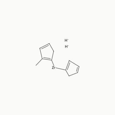 CC1=[C]([Zr][C]2=CC=CC2)CC=C1.[H-].[H-]